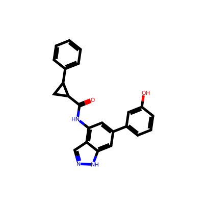 O=C(Nc1cc(-c2cccc(O)c2)cc2[nH]ncc12)C1CC1c1ccccc1